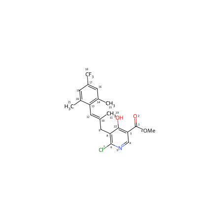 COC(=O)c1cnc(Cl)c(C/C(C)=C/c2c(C)cc(C(F)(F)F)cc2C)c1O